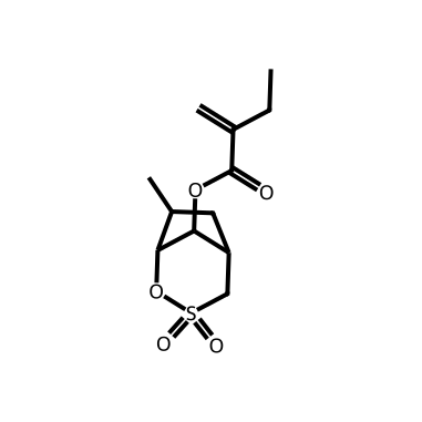 C=C(CC)C(=O)OC1C2CC(C)C1OS(=O)(=O)C2